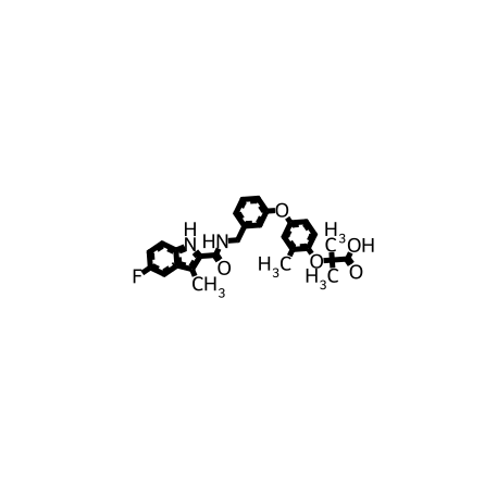 Cc1cc(Oc2cccc(CNC(=O)c3[nH]c4ccc(F)cc4c3C)c2)ccc1OC(C)(C)C(=O)O